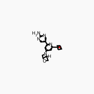 Nc1ncc(-c2cc(N3CC4OC[C@H]43)cc(N3CC4CC3C4)n2)cn1